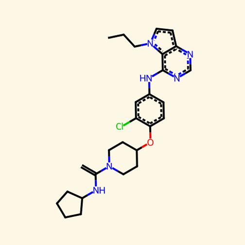 C=C(NC1CCCC1)N1CCC(Oc2ccc(Nc3ncnc4ccn(CCC)c34)cc2Cl)CC1